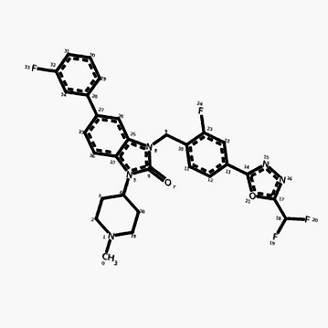 CN1CCC(n2c(=O)n(Cc3ccc(-c4nnc(C(F)F)o4)cc3F)c3cc(-c4cccc(F)c4)ccc32)CC1